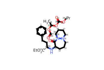 CCOC(=O)[C@H](CCc1ccccc1)NC1CCCN2CCC[C@@H](C(=O)OC(C)OC(=O)OC(C)C)N2C1=O